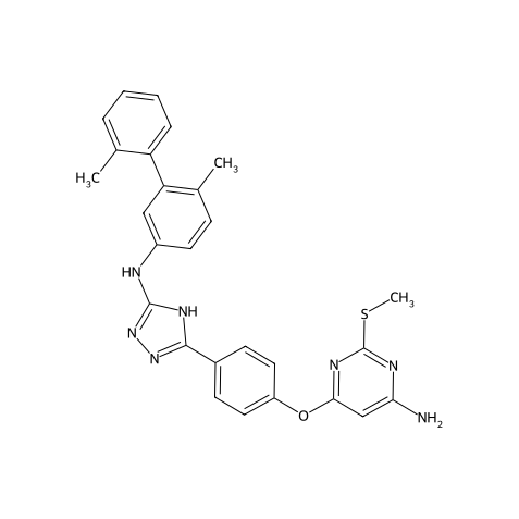 CSc1nc(N)cc(Oc2ccc(-c3nnc(Nc4ccc(C)c(-c5ccccc5C)c4)[nH]3)cc2)n1